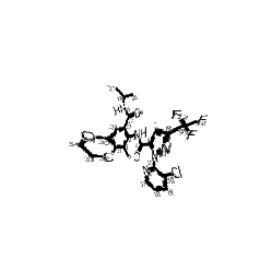 Cc1c(NC(=O)c2cc(C(F)(F)F)nn2-c2ncccc2Cl)c(C(=O)NC(C)C)cc2c1OCCO2